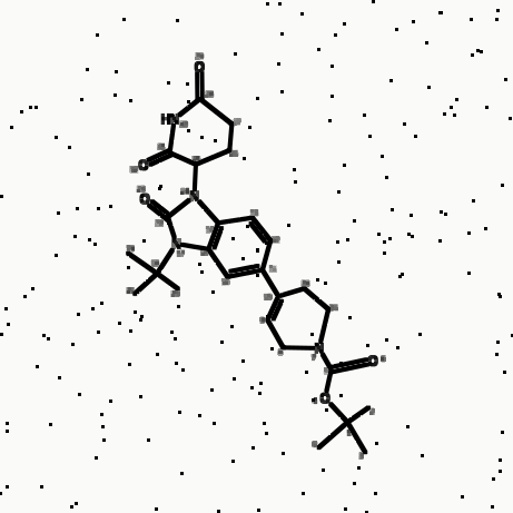 CC(C)(C)OC(=O)N1CC=C(c2ccc3c(c2)n(C(C)(C)C)c(=O)n3C2CCC(=O)NC2=O)CC1